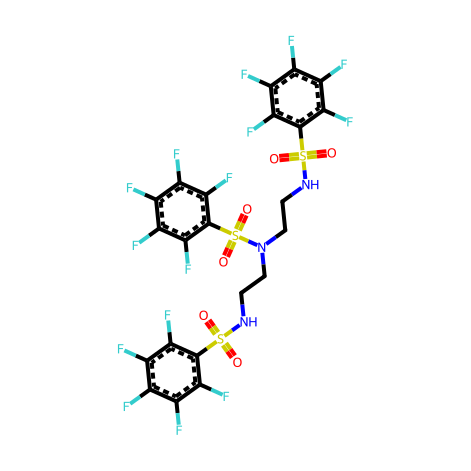 O=S(=O)(NCCN(CCNS(=O)(=O)c1c(F)c(F)c(F)c(F)c1F)S(=O)(=O)c1c(F)c(F)c(F)c(F)c1F)c1c(F)c(F)c(F)c(F)c1F